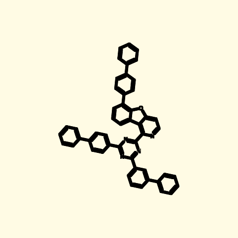 c1ccc(-c2ccc(-c3nc(-c4cccc(-c5ccccc5)c4)nc(-c4nccc5oc6c(-c7ccc(-c8ccccc8)cc7)cccc6c45)n3)cc2)cc1